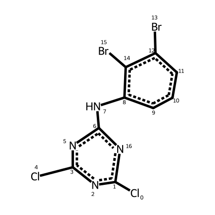 Clc1nc(Cl)nc(Nc2cccc(Br)c2Br)n1